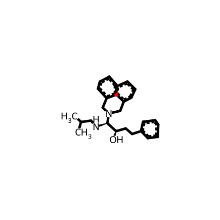 CC(C)CN[C@H]([C@H](O)CCc1ccccc1)N(Cc1ccccc1)Cc1ccccc1